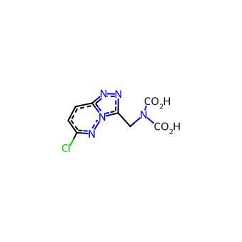 O=C(O)N(Cc1nnc2ccc(Cl)nn12)C(=O)O